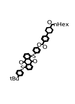 CCCCCCC(=O)C1CCC(c2ccc(C(=O)Oc3ccc(Sc4cccc5c4C(=O)c4cccc(Sc6ccc(C(C)(C)C)cc6)c4C5=O)cc3)cc2)CC1